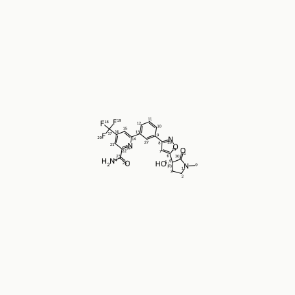 CN1CC[C@@](O)(c2cc(-c3cccc(-c4cc(C(F)(F)F)cc(C(N)=O)n4)c3)no2)C1=O